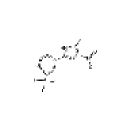 Cc1[nH]c(-c2cccc(C(F)(F)F)c2)cc1[N+](=O)[O-]